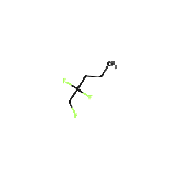 FCC(F)(F)CCC(F)(F)F